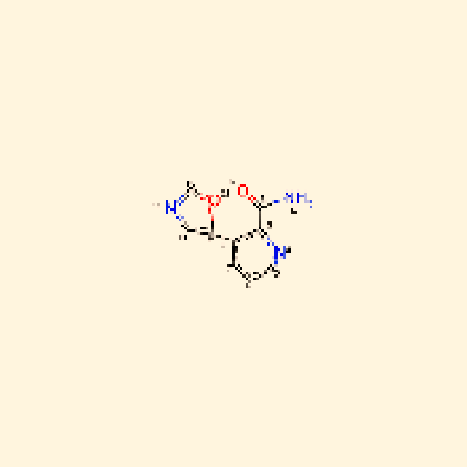 NC(=O)c1ncccc1-c1cnco1